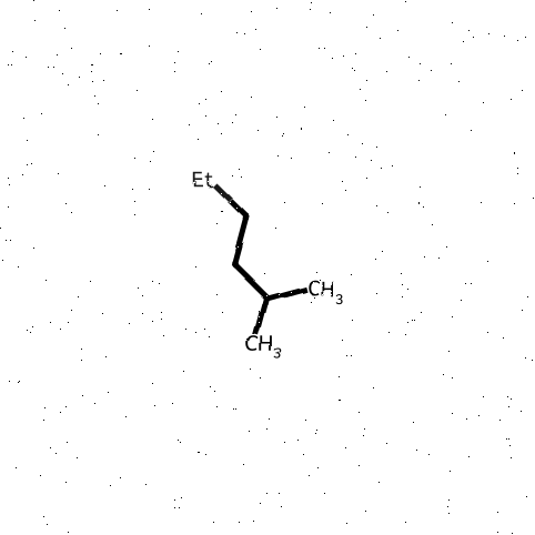 CCCCC(C)C